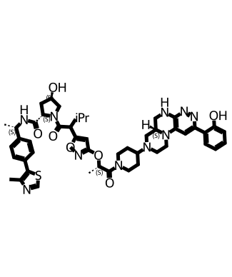 Cc1ncsc1-c1ccc([C@H](C)NC(=O)[C@@H]2C[C@@H](O)CN2C(=O)C(c2cc(O[C@@H](C)C(=O)N3CCC(N4CCN5c6cc(-c7ccccc7O)nnc6NC[C@H]5C4)CC3)no2)C(C)C)cc1